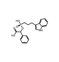 O=C(O)C(OP(=O)(O)CCCc1c[nH]c2ccccc12)c1ccccc1